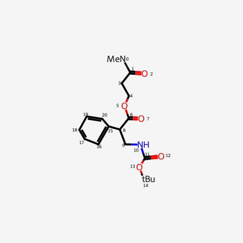 CNC(=O)CCOC(=O)C(CNC(=O)OC(C)(C)C)c1ccccc1